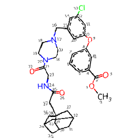 COC(=O)c1cccc(Oc2cc(Cl)cc(CN3CCN(C(=O)CNC(=O)CC45CC6CC(CC(C6)C4)C5)CC3)c2)c1